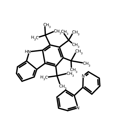 CC(C)(C)c1c(C(C)(C)C)c(C(C)(C)C)c2c([nH]c3ccccc32)c1C(C)(C)C.c1ccc(-c2ccccn2)nc1